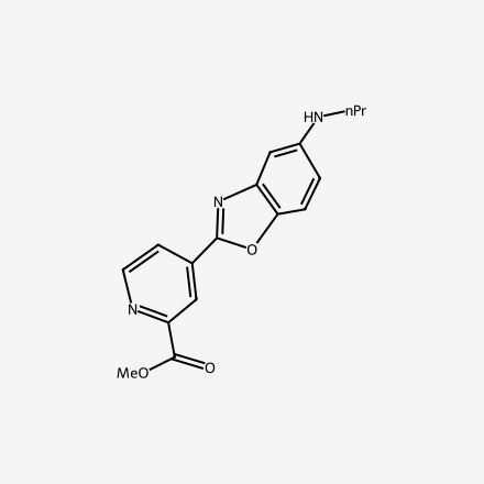 CCCNc1ccc2oc(-c3ccnc(C(=O)OC)c3)nc2c1